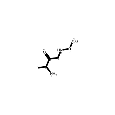 CC(N)C(=O)CNOC(C)(C)C